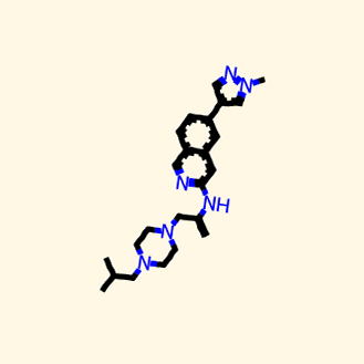 C=C(CN1CCN(CC(C)C)CC1)Nc1cc2cc(-c3cnn(C)c3)ccc2cn1